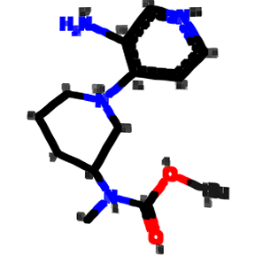 CN(C(=O)OC(C)(C)C)C1CCCN(c2ccncc2N)C1